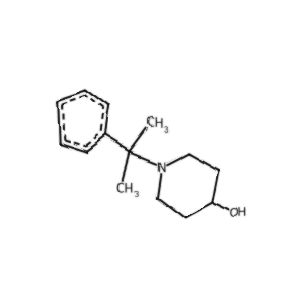 CC(C)(c1ccccc1)N1CCC(O)CC1